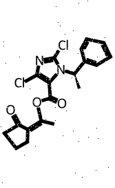 C/C(OC(=O)c1c(Cl)nc(Cl)n1[C@H](C)c1ccccc1)=C1\CCCC1=O